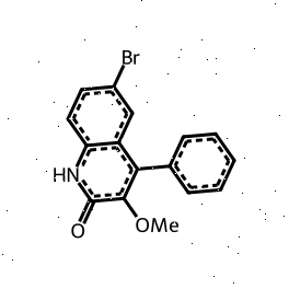 COc1c(-c2ccccc2)c2cc(Br)ccc2[nH]c1=O